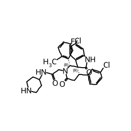 Cc1ccc(F)cc1[C@H]1N(CC(=O)NC2CCNCC2)C(=O)CC(c2cccc(Cl)c2)[C@]12C(=O)Nc1cc(Cl)ccc12